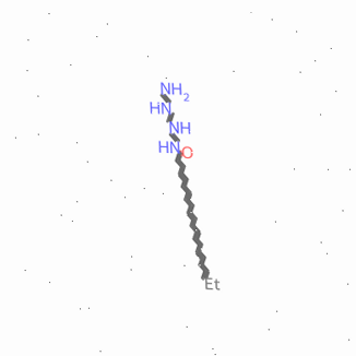 CCC=CCC=CCC=CCC=CCC=CCC=CCCC(=O)NCCNCCNCCN